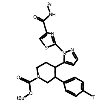 CC(C)NC(=O)c1csc(-n2nccc2C2CCN(C(=O)OC(C)(C)C)CC2c2ccc(F)cc2)n1